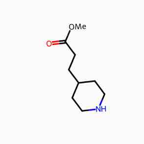 COC(=O)CCC1CCNCC1